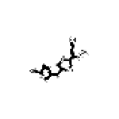 CN/C(=C\C=N)C1CNC(Cc2ccc(Cl)cc2)CO1